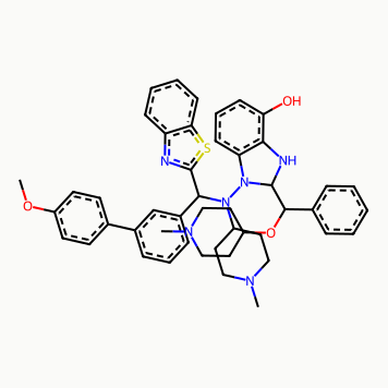 COc1ccc(-c2cccc(C(c3nc4ccccc4s3)N(C3CCN(C)CC3)N3c4cccc(O)c4NC3C(OC3CCN(C)CC3)c3ccccc3)c2)cc1